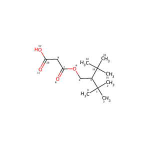 CC(C)(C)C(COC(=O)CC(=O)O)C(C)(C)C